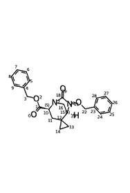 O=C(OCc1ccccc1)[C@@H]1CC2(CC2)[C@H]2CN1C(=O)N2OCc1ccccc1